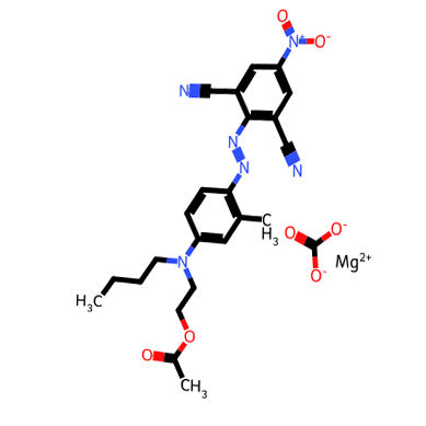 CCCCN(CCOC(C)=O)c1ccc(N=Nc2c(C#N)cc([N+](=O)[O-])cc2C#N)c(C)c1.O=C([O-])[O-].[Mg+2]